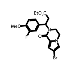 CCOC(=O)CC(c1ccc(OC)c(F)c1)N1CCn2cc(Br)cc2C1=O